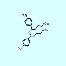 CCCCCCCCCCCCCC(OC(CCCCCCCCCCCCC)c1ccc([N+](=O)[O-])cc1)c1ccc([N+](=O)[O-])cc1